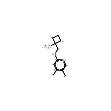 CCOC(=O)C1(COc2cc(C)c(C)cn2)CCC1